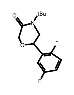 CC(C)(C)N1CC(c2cc(F)ccc2F)OCC1=O